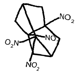 O=[N+]([O-])C1([N+](=O)[O-])C2CC3([N+](=O)[O-])CC1CC3([N+](=O)[O-])C2